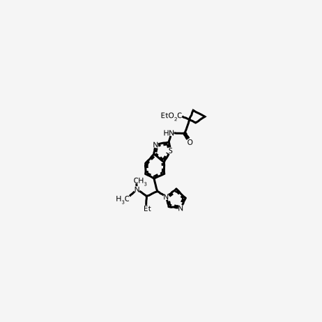 CCOC(=O)C1(C(=O)Nc2nc3ccc(C(C(CC)N(C)C)n4ccnc4)cc3s2)CCC1